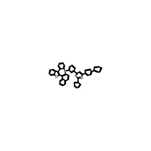 c1ccc(-c2ccc(-c3cc(-c4cccc(N5c6ccccc6-c6c(oc7ccccc67)-c6c5ccc5ccccc65)c4)nc(-c4ccccc4)n3)cc2)cc1